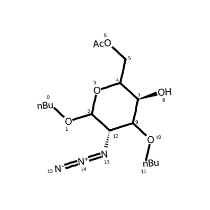 CCCCOC1OC(COC(C)=O)[C@@H](O)C(OCCCC)[C@@H]1N=[N+]=[N-]